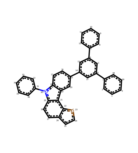 c1ccc(-c2cc(-c3ccccc3)cc(-c3ccc4c(c3)c3c5sccc5ccc3n4-c3ccccc3)c2)cc1